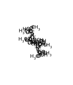 COc1cc(CN(CCOCCOCCN(Cc2cc(OC)c(O)c(OC)c2)Cc2cc(OC)c(O)c(OC)c2)Cc2cc(OC)c(O)c(OC)c2)cc(OC)c1O